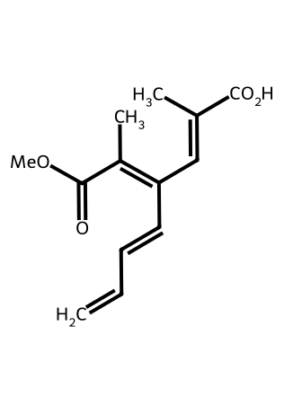 C=CC=CC(C=C(C)C(=O)O)=C(C)C(=O)OC